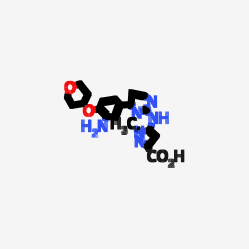 Cn1nc(C(=O)O)cc1Nc1nccc(-c2ccc(OC3CCOCC3)c(N)c2)n1